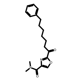 CN(C)C(=O)c1coc(C(=O)CCCCCCc2ccccc2)n1